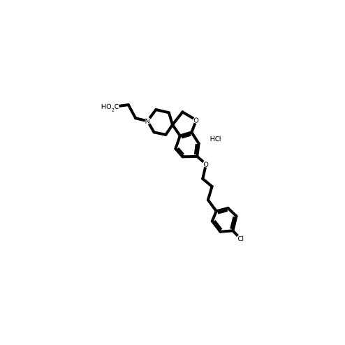 Cl.O=C(O)CCN1CCC2(CC1)COc1cc(OCCCc3ccc(Cl)cc3)ccc12